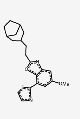 COc1cc(-c2nccs2)c2oc(CCC3CC4CCC(C3)C4)nc2c1